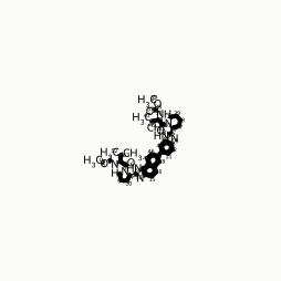 COCN[C@H](C(=O)N1CCC[C@H]1c1nc2ccc3cc(-c4ccc5nc([C@@H]6CCCCN6C(=O)[C@@H](NC(=O)OC)C(C)C)[nH]c5c4)ccc3c2[nH]1)C(C)C